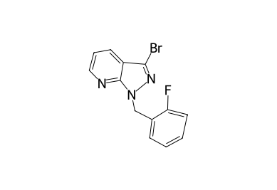 Fc1ccccc1Cn1nc(Br)c2cccnc21